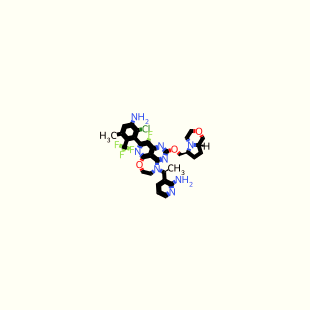 Cc1cc(N)c(Cl)c(-c2nc3c4c(nc(OC[C@@H]5CC[C@H]6COCCN65)nc4c2F)N([C@H](C)c2cccnc2N)CCO3)c1C(F)(F)F